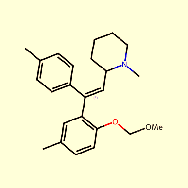 COCOc1ccc(C)cc1/C(=C/C1CCCCN1C)c1ccc(C)cc1